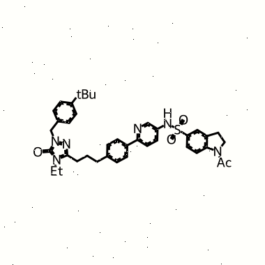 CCn1c(CCCc2ccc(-c3ccc(NS(=O)(=O)c4ccc5c(c4)CCN5C(C)=O)cn3)cc2)nn(Cc2ccc(C(C)(C)C)cc2)c1=O